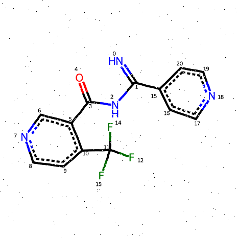 N=C(NC(=O)c1cnccc1C(F)(F)F)c1ccncc1